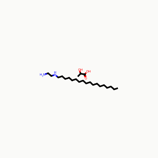 CC(O)C(=O)O.CCCCCCCCCCCCCCCCCCNCCN